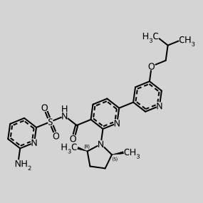 CC(C)COc1cncc(-c2ccc(C(=O)NS(=O)(=O)c3cccc(N)n3)c(N3[C@H](C)CC[C@@H]3C)n2)c1